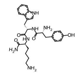 NCCCC[C@H](NC(=O)[C@H](Cc1c[nH]c2ccccc12)NC(=O)[C@H](N)Cc1ccc(O)cc1)C(N)=O